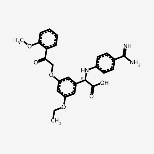 CCOc1cc(OCC(=O)c2ccccc2OC)cc([C@@H](Nc2ccc(C(=N)N)cc2)C(=O)O)c1